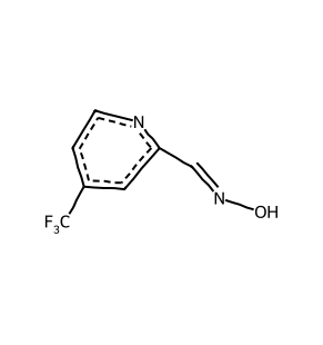 ON=Cc1cc(C(F)(F)F)ccn1